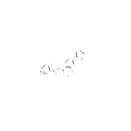 Cc1ccc(-c2ccc3c(c2)OCCC3CNc2cccnc2)s1